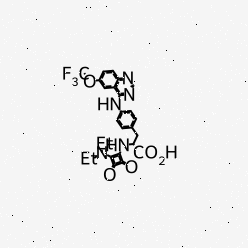 CCN(CC)c1c(NC(Cc2ccc(Nc3ncnc4ccc(OC(F)(F)F)cc34)cc2)C(=O)O)c(=O)c1=O